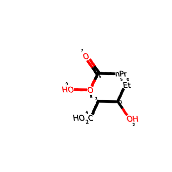 CCC(O)CC(=O)O.CCCC(=O)OO